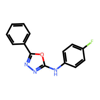 Fc1ccc(Nc2nnc(-c3ccccc3)o2)cc1